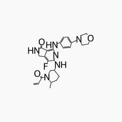 C=CC(=O)N1CC(Nc2nc(Nc3ccc(N4CCOCC4)cc3)c3c(c2F)CNC3=O)CCC1C